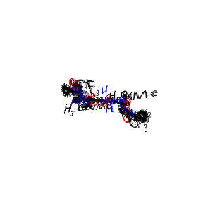 CN[C@@H](C)C(=O)N[C@@H](CCCCNC(=O)C(=O)NCCCC[C@H](NC(=O)[C@H](C)NC)C(=O)N1CCC[C@H]1CN(CCc1ccccc1)C(=O)C(F)(F)F)C(=O)N1CCC[C@H]1CN(CCc1ccccc1)C(=O)C(F)(F)F